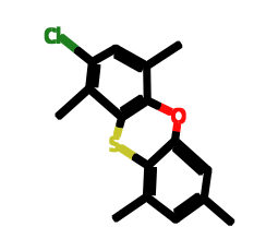 Cc1cc(C)c2c(c1)Oc1c(C)cc(Cl)c(C)c1S2